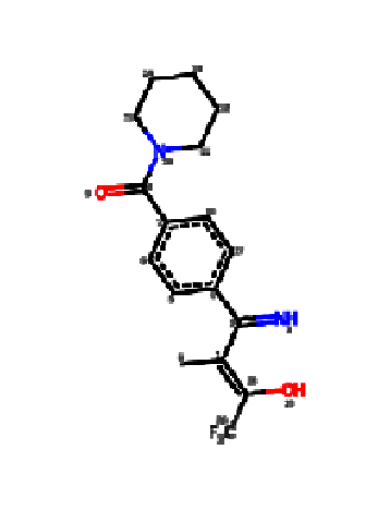 C/C(C(=N)c1ccc(C(=O)N2CCCCC2)cc1)=C(/O)C(F)(F)F